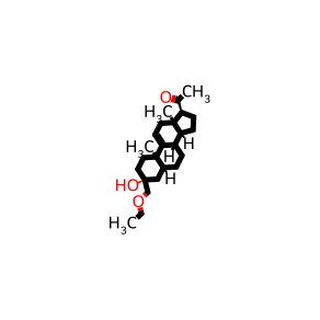 CCOC[C@@]1(O)CC[C@]2(C)C3=CC[C@]4(C)[C@@H](C(C)=O)CC[C@H]4[C@@H]3CC[C@H]2C1